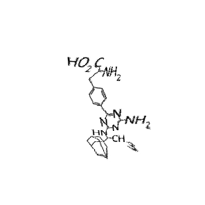 CC(Nc1nc(N)nc(-c2ccc(CC(N)C(=O)O)cc2)n1)C12CC3CC(CC(C3)C1)C2